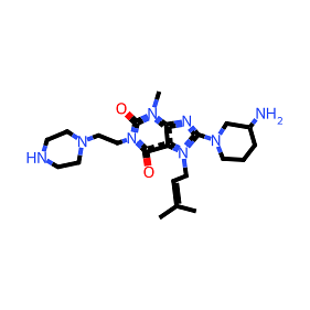 CC(C)=CCn1c(N2CCCC(N)C2)nc2c1c(=O)n(CCN1CCNCC1)c(=O)n2C